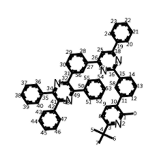 Cc1nc(C(C)(C)C)ccc1-c1cccc(-c2nc(-c3ccccc3)cc(-c3cccc(-c4nc(-c5ccccc5)c(-c5ccccc5)nc4-c4ccccc4)c3)n2)c1